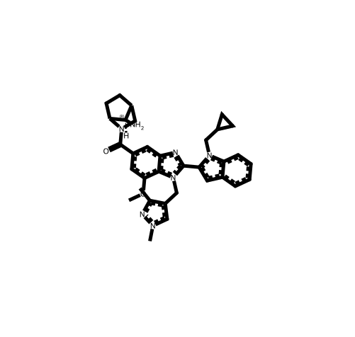 COc1cc(C(=O)N2CC3CCC2[C@@H]3N)cc2nc(-c3cc4ccccc4n3CC3CC3)n(Cc3cn(C)nc3C)c12